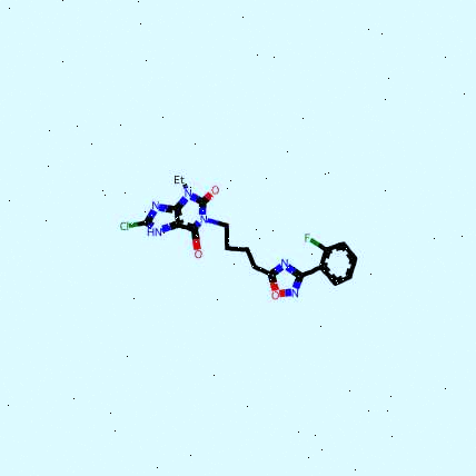 CCn1c(=O)n(CCCCc2nc(-c3ccccc3F)no2)c(=O)c2[nH]c(Cl)nc21